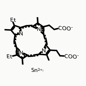 CCC1=C(C)c2cc3[nH]c(cc4nc(cc5[nH]c(cc1n2)c(C)c5CCC(=O)[O-])C(CCC(=O)[O-])=C4C)c(C)c3CC.[Sn+2]